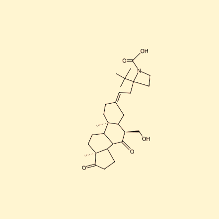 CC(C)(C)C1(CC=C2CC[C@]3(C)C4CC[C@]5(C)C(=O)CCC5C4C(=O)[C@H](CO)C3C2)CCN1C(=O)O